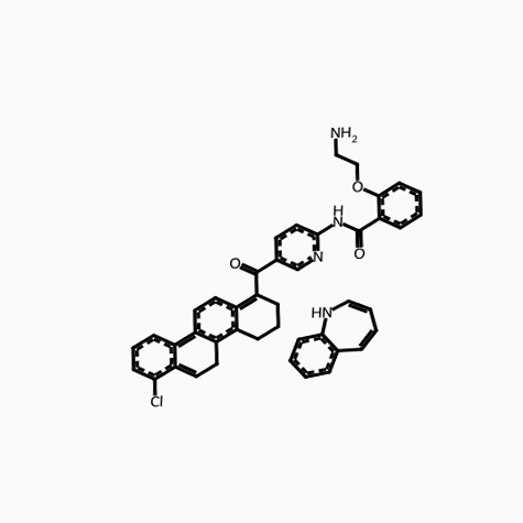 C1=CNc2ccccc2C=C1.NCCOc1ccccc1C(=O)Nc1ccc(C(=O)C2=c3ccc4c(c3CCC2)CC=c2c(Cl)cccc2=4)cn1